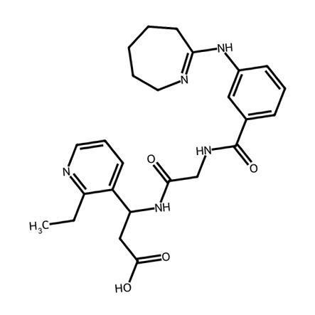 CCc1ncccc1C(CC(=O)O)NC(=O)CNC(=O)c1cccc(NC2=NCCCCC2)c1